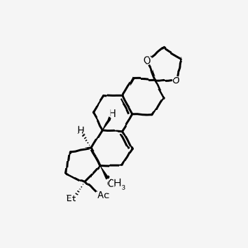 CC[C@]1(C(C)=O)CC[C@H]2[C@@H]3CCC4=C(CCC5(C4)OCCO5)C3=CC[C@@]21C